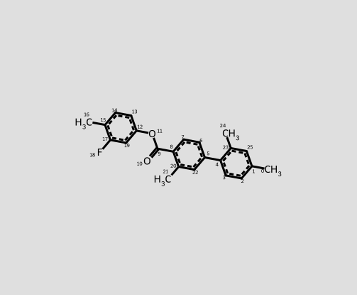 Cc1ccc(-c2ccc(C(=O)Oc3ccc(C)c(F)c3)c(C)c2)c(C)c1